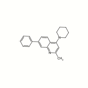 Cc1cc(N2CCCCC2)c2ccc(-c3cc[c]cc3)cc2n1